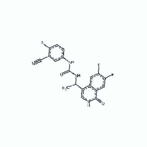 CC(NC(=O)Nc1ccc(F)c(C#N)c1)c1c[nH]c(=O)c2cc(F)c(F)cc12